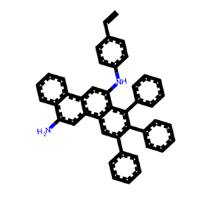 C=Cc1ccc(Nc2cc3c4ccccc4c(N)cc3c3cc(-c4ccccc4)c(-c4ccccc4)c(-c4ccccc4)c23)cc1